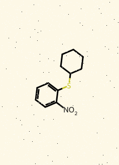 O=[N+]([O-])c1ccccc1SC1CCCCC1